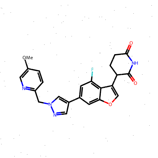 COc1ccc(Cn2cc(-c3cc(F)c4c(C5CCC(=O)NC5=O)coc4c3)cn2)nc1